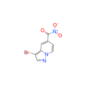 O=C(c1ccn2ncc(Br)c2c1)[N+](=O)[O-]